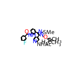 CSc1nc(-c2cccc(NC(=O)c3cccc(F)c3)c2)c(-c2ccnc(NC(C)=O)c2)n1COCC[Si](C)(C)C